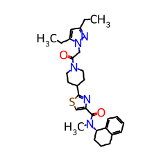 CCc1cc(CC)n(CC(=O)N2CCC(c3nc(C(=O)N(C)[C@@H]4CCCc5ccccc54)cs3)CC2)n1